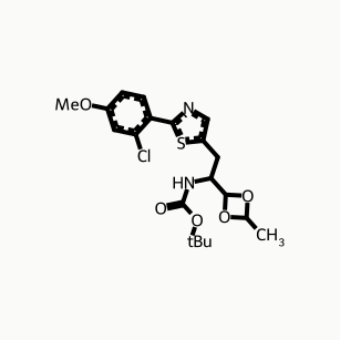 COc1ccc(-c2ncc(CC(NC(=O)OC(C)(C)C)C3OC(C)O3)s2)c(Cl)c1